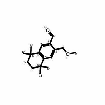 COCc1cc2c(cc1C=O)C(C)(C)CCC2(C)C